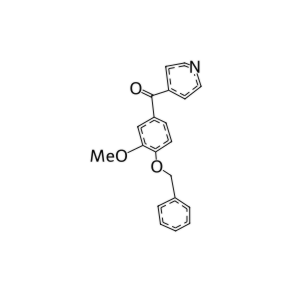 COc1cc(C(=O)c2ccncc2)ccc1OCc1ccccc1